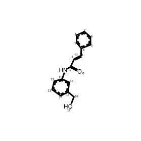 O=C(/C=C/c1ccccc1)Nc1cccc(CO)c1